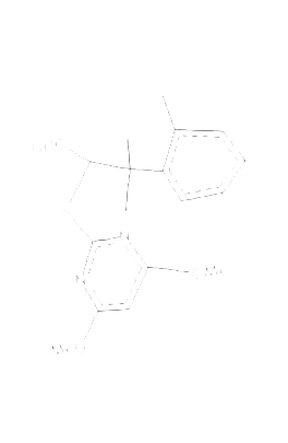 COc1cc(OC)nc(SC(C=O)C(C)(C)c2ccccc2C)n1